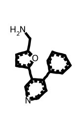 NCc1ccc(-c2cnccc2-c2ccccc2)o1